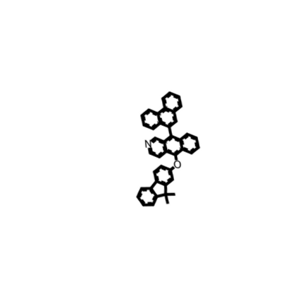 CC1(C)c2ccccc2-c2ccc(Oc3c4ccccc4c(-c4cc5ccccc5c5ccccc45)c4cnccc34)cc21